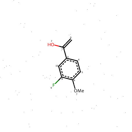 C=C(O)c1ccc(OC)c(F)c1